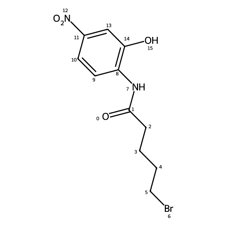 O=C(CCCCBr)Nc1ccc([N+](=O)[O-])cc1O